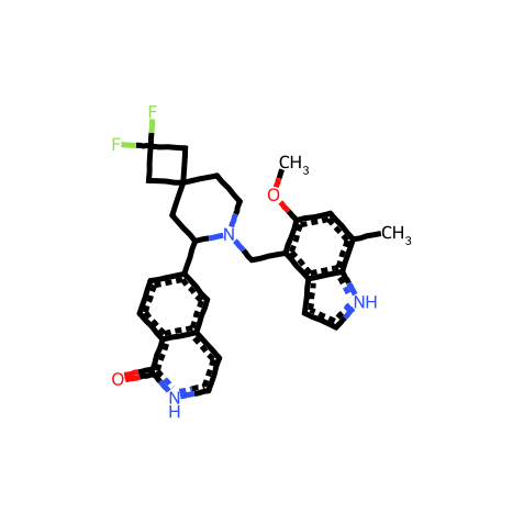 COc1cc(C)c2[nH]ccc2c1CN1CCC2(CC1c1ccc3c(=O)[nH]ccc3c1)CC(F)(F)C2